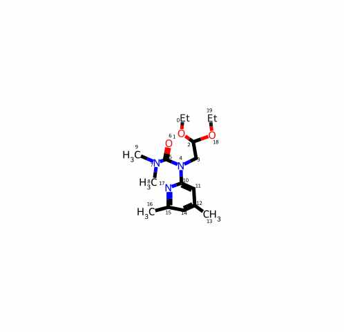 CCOC(CN(C(=O)N(C)C)c1cc(C)cc(C)n1)OCC